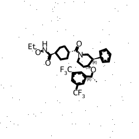 CCONC(=O)[C@H]1CC[C@H](C(=O)N2CC[C@H](O[C@H](C)c3cc(C(F)(F)F)cc(C(F)(F)F)c3)[C@H](c3ccccc3)C2)CC1